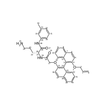 C=CCOc1ccc2ccccc2c1-c1c(OCC(=O)N[C@H](CCCN)C(=O)Nc2cccc(C)c2)ccc2ccccc12